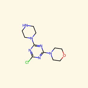 Clc1nc(N2CCNCC2)nc(N2CCOCC2)n1